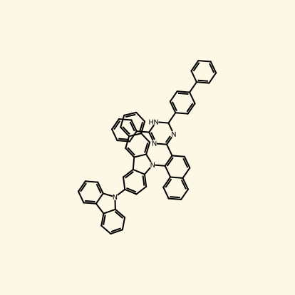 c1ccc(C2=NC(c3ccc4ccccc4c3-n3c4ccc(-n5c6ccccc6c6ccccc65)cc4c4cc5ccccc5cc43)=NC(c3ccc(-c4ccccc4)cc3)N2)cc1